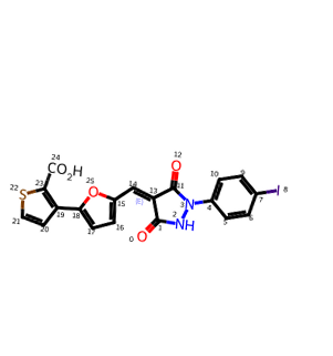 O=C1NN(c2ccc(I)cc2)C(=O)/C1=C/c1ccc(-c2ccsc2C(=O)O)o1